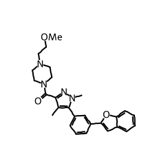 COCCN1CCN(C(=O)c2nn(C)c(-c3cccc(-c4cc5ccccc5o4)c3)c2C)CC1